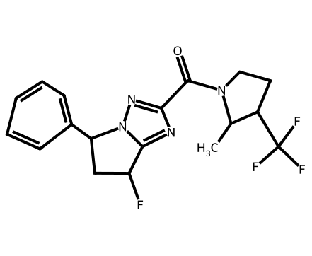 CC1C(C(F)(F)F)CCN1C(=O)c1nc2n(n1)C(c1ccccc1)CC2F